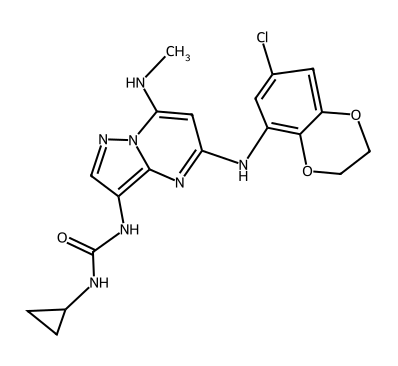 CNc1cc(Nc2cc(Cl)cc3c2OCCO3)nc2c(NC(=O)NC3CC3)cnn12